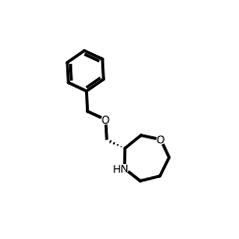 c1ccc(COC[C@@H]2COCCCN2)cc1